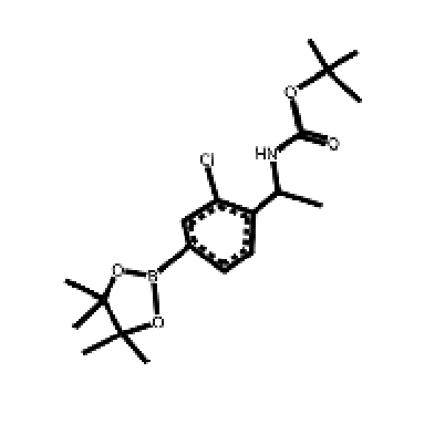 CC(NC(=O)OC(C)(C)C)c1ccc(B2OC(C)(C)C(C)(C)O2)cc1Cl